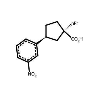 CCC[C@@]1(C(=O)O)CC[C@H](c2cccc([N+](=O)[O-])c2)C1